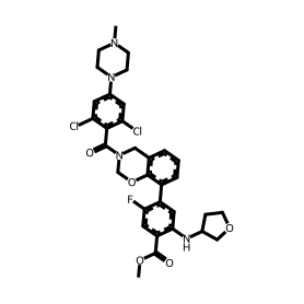 COC(=O)c1cc(F)c(-c2cccc3c2OCN(C(=O)c2c(Cl)cc(N4CCN(C)CC4)cc2Cl)C3)cc1NC1CCOC1